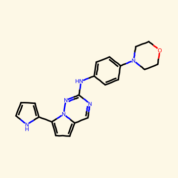 c1c[nH]c(-c2ccc3cnc(Nc4ccc(N5CCOCC5)cc4)nn23)c1